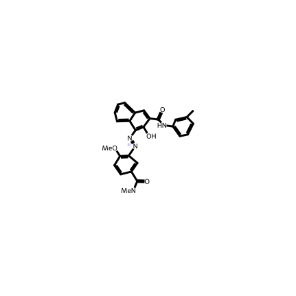 CNC(=O)c1ccc(OC)c(/N=N/c2c(O)c(C(=O)Nc3cccc(C)c3)cc3ccccc23)c1